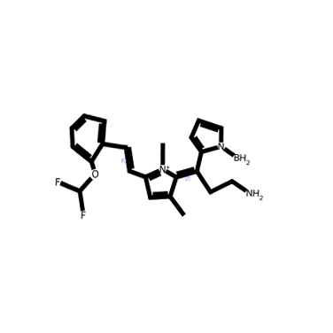 Bn1cccc1/C(CCN)=C1/C(C)=CC(/C=C/c2ccccc2OC(F)F)=[N+]1C